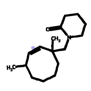 CC1/C=C\C(C)(CN2CCCCC2=O)CCCC1